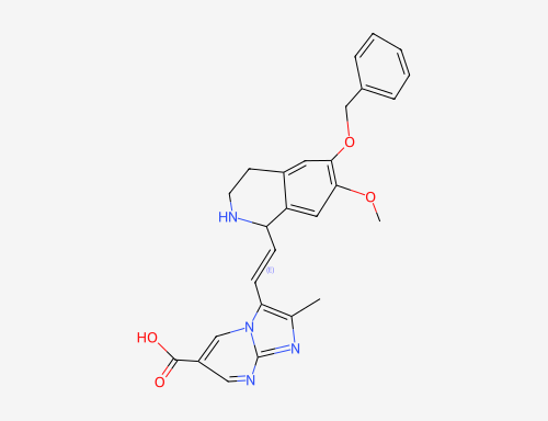 COc1cc2c(cc1OCc1ccccc1)CCNC2/C=C/c1c(C)nc2ncc(C(=O)O)cn12